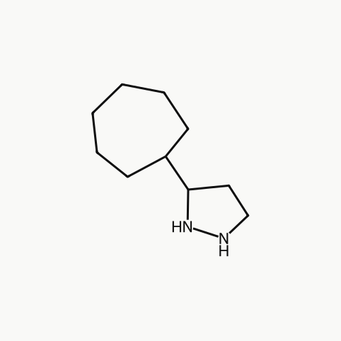 C1CCCC(C2CCNN2)CC1